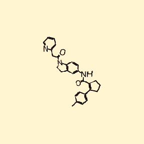 Cc1ccc(C2=C(C(=O)Nc3ccc4c(c3)CCN4C(=O)Cc3ccccn3)CCC2)cc1